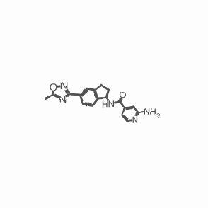 Cc1nc(-c2ccc3c(c2)CCC3NC(=O)c2ccnc(N)c2)no1